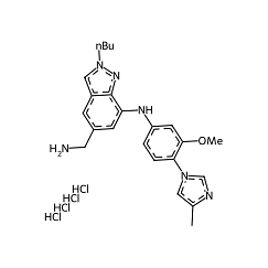 CCCCn1cc2cc(CN)cc(Nc3ccc(-n4cnc(C)c4)c(OC)c3)c2n1.Cl.Cl.Cl.Cl